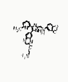 Cc1cccc(-c2nc(CNc3ccc4c(c3)OCO4)[nH]c2-c2ccc3ncc(OCCN)nc3c2)n1